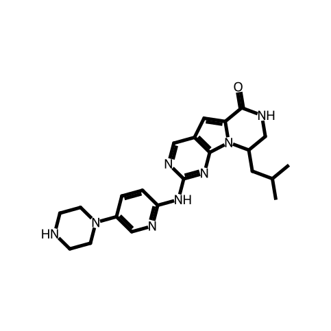 CC(C)CC1CNC(=O)c2cc3cnc(Nc4ccc(N5CCNCC5)cn4)nc3n21